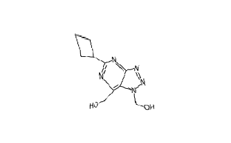 OCc1nc(C2CCC2)nc2nnn(CO)c12